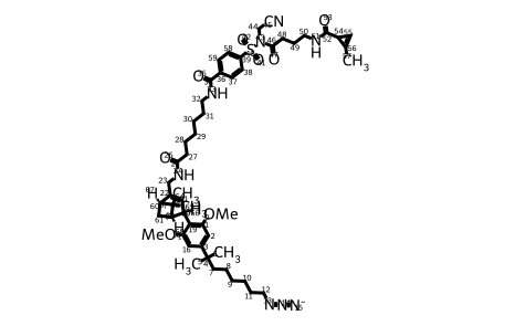 COc1cc(C(C)(C)CCCCCCN=[N+]=[N-])cc(OC)c1[C@H]1C=C(CNC(=O)CCCCCCNC(=O)c2ccc(S(=O)(=O)N(CC#N)C(=O)CCCNC(=O)C3C=C3C)cc2)[C@H]2C[C@@H]1C2(C)C